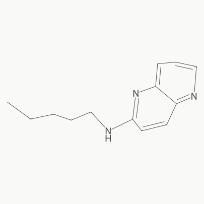 CCCCCNc1ccc2ncccc2n1